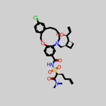 C=CCC[C@@H](C(=O)N(C)C)S(=O)(=O)NC(=O)c1ccc2c(c1)N(C[C@@H]1CC[C@H]1[C@@H](O)C=C)CCCCc1cc(Cl)ccc1CO2